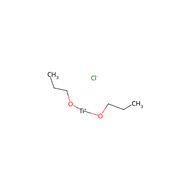 CCC[O][Ti+][O]CCC.[Cl-]